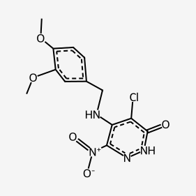 COc1ccc(CNc2c([N+](=O)[O-])n[nH]c(=O)c2Cl)cc1OC